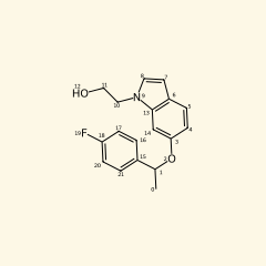 CC(Oc1ccc2ccn(CCO)c2c1)c1ccc(F)cc1